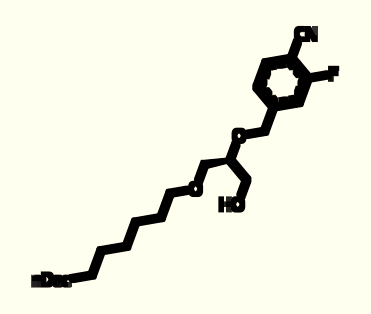 CCCCCCCCCCCCCCCCOC[C@H](CO)OCc1ccc(C#N)c(F)c1